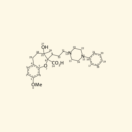 COc1ccc2c(c1)OC(CCCN1CCN(c3ccccc3)CC1)(C(=O)O)C(C)(O)CC2